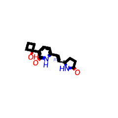 O=C1CC[C@H](/C=C/c2ccc(C3(O)CCC3)c(=O)[nH]2)N1